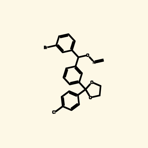 C=NOC(c1cccc(Br)c1)c1cccc(C2(c3ccc(Cl)cc3)OCCO2)c1